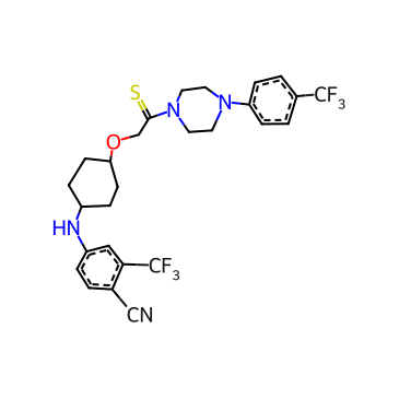 N#Cc1ccc(NC2CCC(OCC(=S)N3CCN(c4ccc(C(F)(F)F)cc4)CC3)CC2)cc1C(F)(F)F